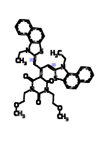 CCN1/C(=C/C(/C=C2\Sc3ccc4ccccc4c3N2CC)=C2C(=O)N(CCOC)C(=O)N(CCOC)C2=O)Sc2ccc3ccccc3c21